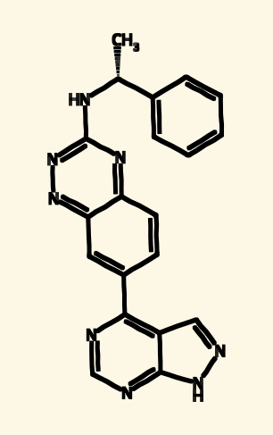 C[C@@H](Nc1nnc2cc(-c3ncnc4[nH]ncc34)ccc2n1)c1ccccc1